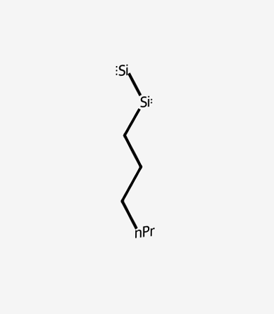 CCCCCC[Si][Si]